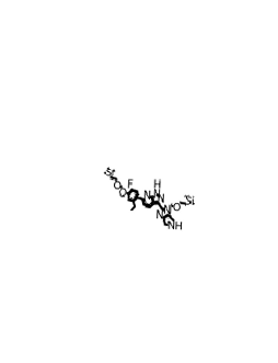 CCc1cc(OCOCC[Si](C)(C)C)c(F)cc1-c1ccc2c(-c3nc4c(n3COCC[Si](C)(C)C)CNC4)n[nH]c2n1